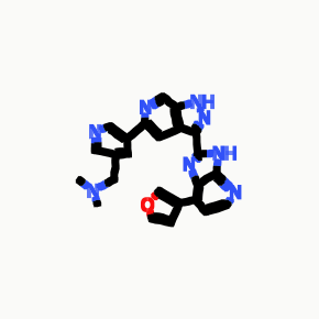 CN(C)Cc1cncc(-c2cc3c(-c4nc5c(-c6ccoc6)ccnc5[nH]4)n[nH]c3cn2)c1